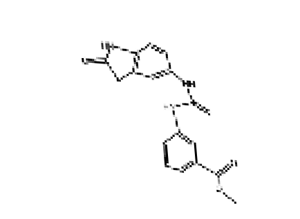 C=C(Nc1cccc(C(=O)OC)c1)Nc1ccc2c(c1)CC(=O)N2